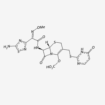 CO/N=C(\C(=O)N[C@@H]1C(=O)N2C(OC(=O)O)=C(CSc3nccc(=O)[nH]3)CS[C@@H]12)c1nsc(N)n1